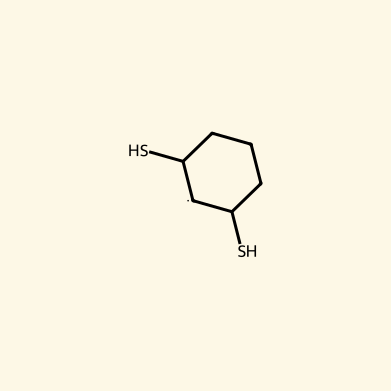 SC1[CH]C(S)CCC1